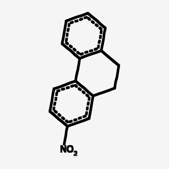 O=[N+]([O-])c1ccc2c(c1)CCc1ccccc1-2